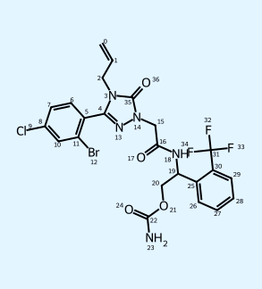 C=CCn1c(-c2ccc(Cl)cc2Br)nn(CC(=O)NC(COC(N)=O)c2ccccc2C(F)(F)F)c1=O